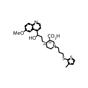 COc1ccc2nccc(C(O)CC[C@@H]3CCN(CCCSc4sccc4C)C[C@@H]3C(=O)O)c2c1